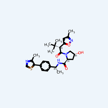 Cc1cc([C@H](C(=O)N2C[C@H](O)C[C@H]2C(=O)N[C@H](C)c2ccc(-c3scnc3C)cc2)C(C)(C)C)on1